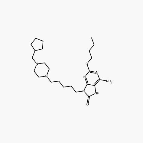 CCCCOc1nc(N)c2[nH]c(=O)n(CCCCCN3CCN(CC4CCCC4)CC3)c2n1